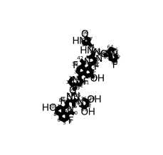 CCc1c(F)ccc2cc(O)cc(-c3ncc4c(N5C[C@H](O)C[C@@H](O)C5)nc(OC[C@@]56CCCN5C(c5cc(F)c(CC)c7c(-c8ncc9c(NCC%10CNC(=O)C%10)nc(OC[C@@]%10%11CCCN%10C[C@H](F)C%11)nc9c8F)cc(O)cc57)[C@H](F)C6)nc4c3F)c12